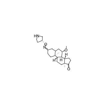 CO[C@@H]1CC2CC(=NO[C@@H]3CCNC3)CC[C@]2(C)[C@H]2CC[C@]3(C)C(=O)CC[C@H]3[C@H]12